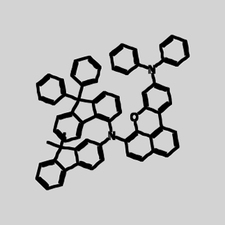 CC1(C)c2ccccc2-c2ccc(N(c3cccc4c3-c3ccccc3C4(c3ccccc3)c3ccccc3)c3ccc4cccc5c4c3Oc3cc(N(c4ccccc4)c4ccccc4)ccc3-5)cc21